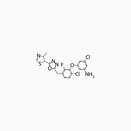 CC1N=CSC1c1nnc(Cc2ccc(Cl)c(Oc3cc(N)cc(Cl)c3)c2F)o1